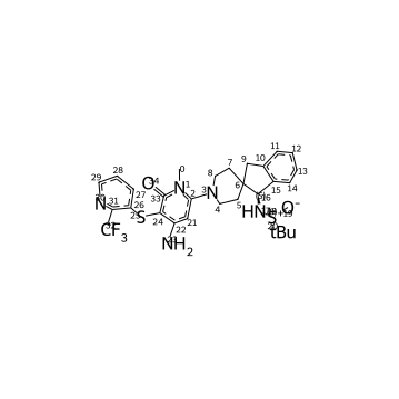 Cn1c(N2CCC3(CC2)Cc2ccccc2[C@H]3N[S@+]([O-])C(C)(C)C)cc(N)c(Sc2cccnc2C(F)(F)F)c1=O